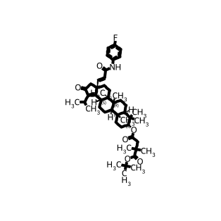 CC(C)C1=C2[C@H]3CC[C@@H]4[C@@]5(C)CC[C@H](OC(=O)CC(C)(C)C(=O)OC(C)(C)C)C(C)(C)[C@@H]5CC[C@@]4(C)[C@]3(C)CC[C@@]2(C=CC(=O)Nc2ccc(F)cc2)CC1=O